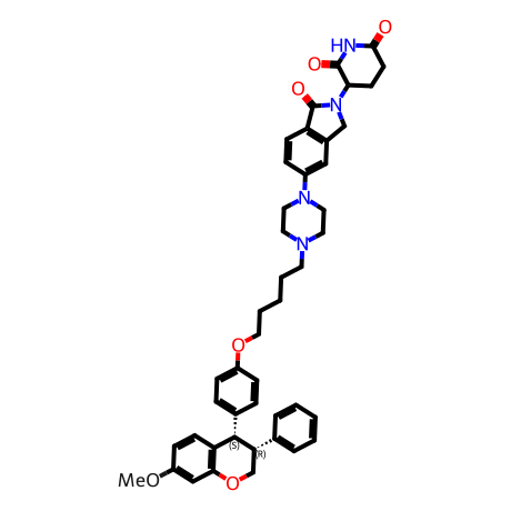 COc1ccc2c(c1)OC[C@@H](c1ccccc1)[C@H]2c1ccc(OCCCCCN2CCN(c3ccc4c(c3)CN(C3CCC(=O)NC3=O)C4=O)CC2)cc1